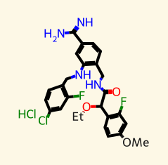 CCOC(C(=O)NCc1ccc(C(=N)N)cc1NCc1ccc(Cl)cc1F)c1ccc(OC)cc1F.Cl